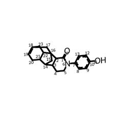 O=C1C2C(CCN1c1ccc(O)cc1)C1CC23CC2=CCC1C3C2